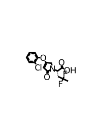 CC(F)(F)C[C@@H](C(=O)O)N1CC(Oc2ccccc2Cl)=CC1=O